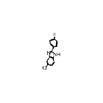 Fc1ccc(-c2nc3cc(Cl)ccc3[nH]2)cc1